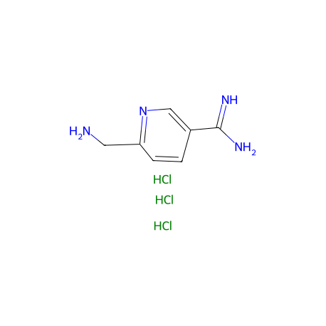 Cl.Cl.Cl.N=C(N)c1ccc(CN)nc1